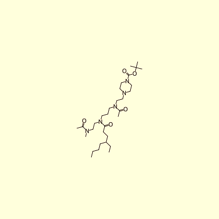 CCCCC(CC)CCC(=O)N(CCCN(CCN1CCN(C(=O)OC(C)(C)C)CC1)C(C)=O)CCN(C)C(C)=O